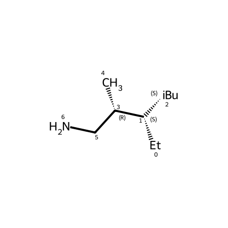 CC[C@@H]([C@@H](C)CC)[C@@H](C)CN